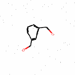 [O]Cc1cccc(C[O])c1